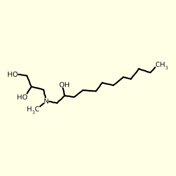 CCCCCCCCCCC(O)CN(C)CC(O)CO